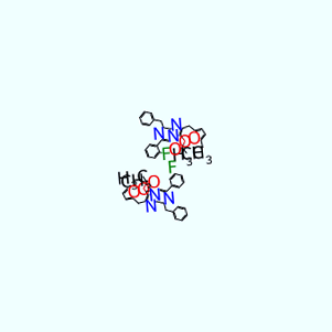 CC(=O)Oc1c(Cc2ccc(C)o2)nc2c(Cc3ccccc3)nc(-c3cccc(F)c3)cn12.CCc1ccc(Cc2nc3c(Cc4ccccc4)nc(-c4ccccc4F)cn3c2OC(C)=O)o1